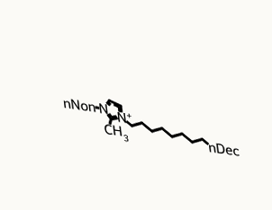 CCCCCCCCCCCCCCCCCC[n+]1ccn(CCCCCCCCC)c1C